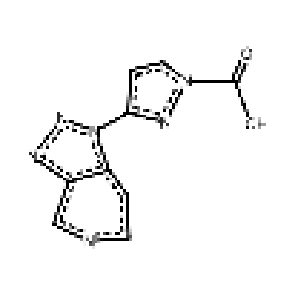 O=C(O)n1ccc(-n2nnc3cnccc32)n1